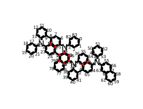 c1ccc(N(c2ccc(-c3ccccc3N(c3ccccc3)c3ccc(-c4ccc(N(c5ccccc5)c5ccccc5-c5ccc(N(c6ccccc6)c6ccc7ccccc7c6)cc5)cc4)cc3)cc2)c2ccc3ccccc3c2)cc1